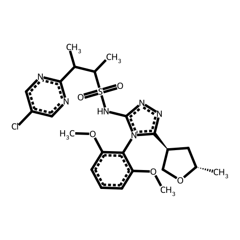 COc1cccc(OC)c1-n1c(NS(=O)(=O)C(C)C(C)c2ncc(Cl)cn2)nnc1[C@@H]1CO[C@@H](C)C1